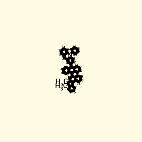 CC1(C)c2ccccc2-c2c1cc(-c1c3ccccc3c(-c3ccc4c(c3)Cc3ccccc3N4c3ccccc3)c3ccccc13)c1ccccc21